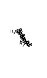 Cc1c([C@@H](O)CN2CCC3(CC2)CCN(c2ccc4c(c2)C[C@@H](C)OC4=O)C3=O)ccc2c1COC2=O